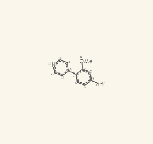 COc1cc(C(C)C)ccc1-c1ccncc1